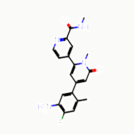 CNC(=O)c1cc(-c2cc(-c3cc(N)c(F)cc3C)cc(=O)n2C)ccn1